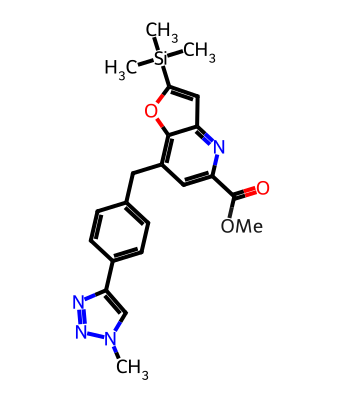 COC(=O)c1cc(Cc2ccc(-c3cn(C)nn3)cc2)c2oc([Si](C)(C)C)cc2n1